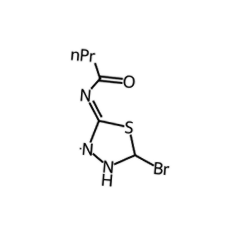 CCCC(=O)N=C1[N]NC(Br)S1